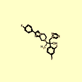 C[C@@H](N1CCn2cc(-c3ccc(F)cc3)nc2C1)[C@](O)(Cn1cncn1)c1ccc(F)cc1F